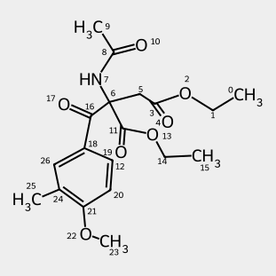 CCOC(=O)CC(NC(C)=O)(C(=O)OCC)C(=O)c1ccc(OC)c(C)c1